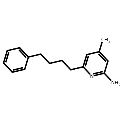 Cc1cc(N)nc(CCCCc2ccccc2)c1